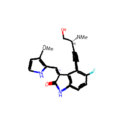 CN[C@H](C#Cc1c(F)ccc2c1/C(=C/c1[nH]ccc1OC)C(=O)N2)CO